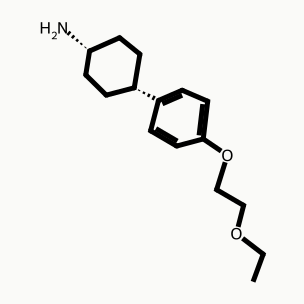 CCOCCOc1ccc([C@H]2CC[C@@H](N)CC2)cc1